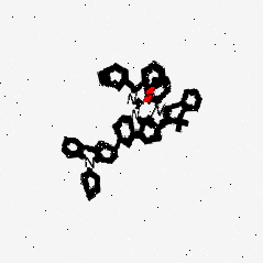 CC1(C)c2ccccc2-c2c1c1ccc3c4cc(-c5ccc6c(c5)c5ccccc5n6-c5ccccc5)ccc4n(-c4nc(-c5ccccc5)c5ccccc5n4)c3c1n2-c1ccccc1